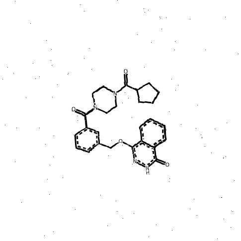 O=C(c1cccc(COc2n[nH]c(=O)c3ccccc23)c1)N1CCN(C(=O)C2CCCC2)CC1